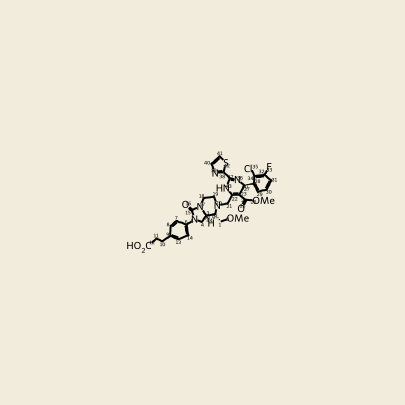 COC[C@@H]1[C@H]2CN(c3ccc(CCC(=O)O)cc3)C(=O)N2CCN1CC1=C(C(=O)OC)[C@H](c2cccc(F)c2Cl)N=C(c2nccs2)N1